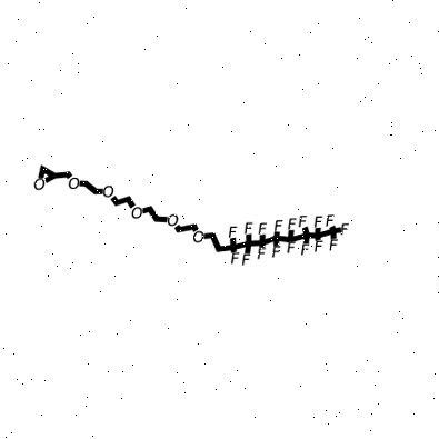 FC(F)(F)C(F)(F)C(F)(F)C(F)(F)C(F)(F)C(F)(F)C(F)(F)C(F)(F)CCOCCOCCOCCOCCOCC1CO1